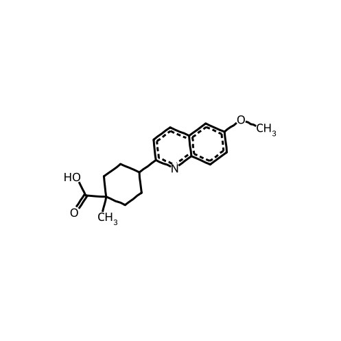 COc1ccc2nc(C3CCC(C)(C(=O)O)CC3)ccc2c1